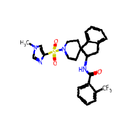 Cn1cnc(S(=O)(=O)N2CCC3(CC2)c2ccccc2CC3NC(=O)c2ccccc2C(F)(F)F)c1